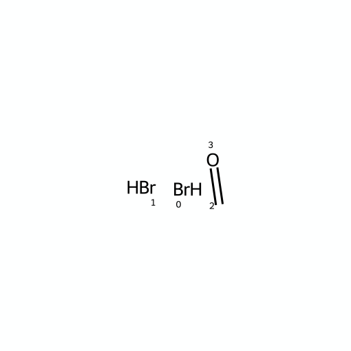 Br.Br.C=O